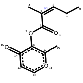 CC/C=C(/C)C(=O)Oc1c(C)occc1=O